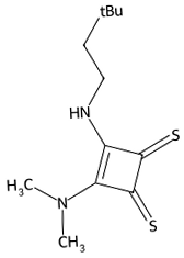 CN(C)c1c(NCCC(C)(C)C)c(=S)c1=S